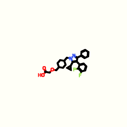 O=C(O)COCC1CCC(Cn2nc(-c3ccccc3)c(-c3cccc(F)c3F)c2C2CC2)CC1